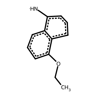 CCOc1cccc2c([NH])cccc12